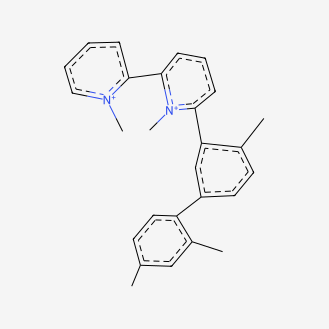 Cc1ccc(-c2ccc(C)c(-c3cccc(-c4cccc[n+]4C)[n+]3C)c2)c(C)c1